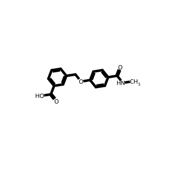 CNC(=O)c1ccc(OCc2cccc(C(=O)O)c2)cc1